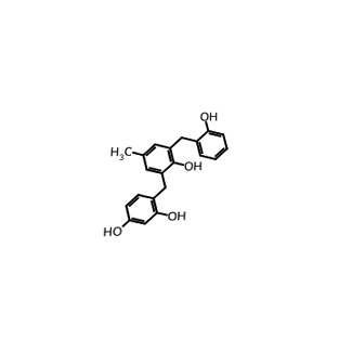 Cc1cc(Cc2ccccc2O)c(O)c(Cc2ccc(O)cc2O)c1